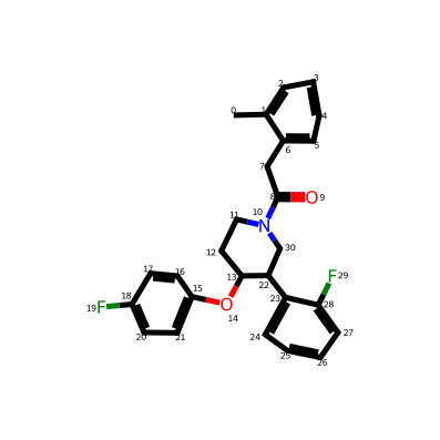 Cc1ccccc1CC(=O)N1CCC(Oc2ccc(F)cc2)C(c2ccccc2F)C1